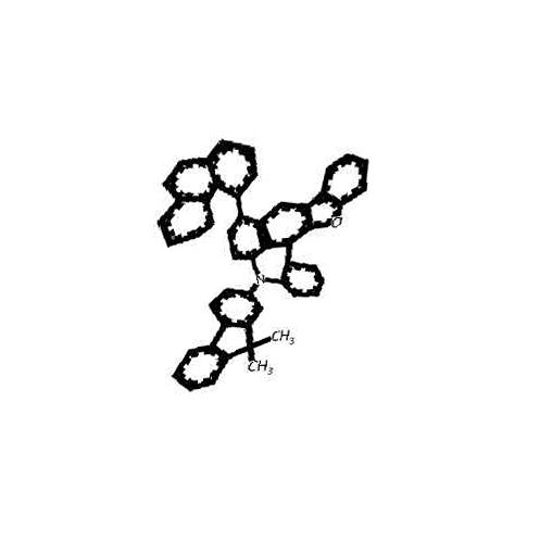 CC1(C)c2ccccc2-c2ccc(N(c3ccc(-c4cccc5ccc6ccccc6c45)cc3)c3ccccc3-c3cccc4c3oc3ccccc34)cc21